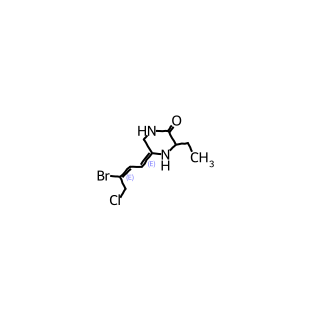 CCC1N/C(=C/C=C(/Br)CCl)CNC1=O